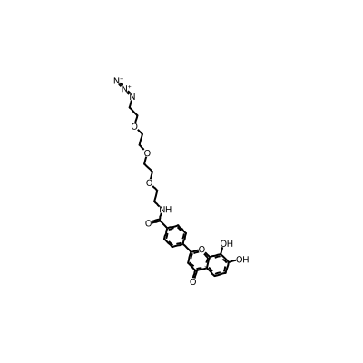 [N-]=[N+]=NCCOCCOCCOCCNC(=O)c1ccc(-c2cc(=O)c3ccc(O)c(O)c3o2)cc1